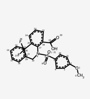 COc1ccc(S(=O)(=O)N(Cc2ccccc2)c2c(C(=O)O)cccc2C(F)(F)F)cc1